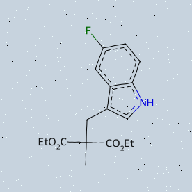 CCOC(=O)C(C)(Cc1c[nH]c2ccc(F)cc12)C(=O)OCC